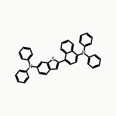 c1ccc(N(c2ccccc2)c2ccc3cc(-c4ccc(N(c5ccccc5)c5ccccc5)c5ccccc45)sc3c2)cc1